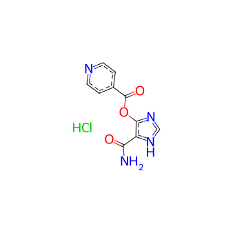 Cl.NC(=O)c1[nH]cnc1OC(=O)c1ccncc1